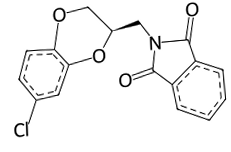 O=C1c2ccccc2C(=O)N1C[C@@H]1COc2ccc(Cl)cc2O1